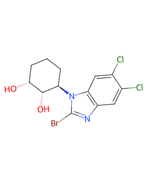 O[C@@H]1[C@H](O)CCC[C@H]1n1c(Br)nc2cc(Cl)c(Cl)cc21